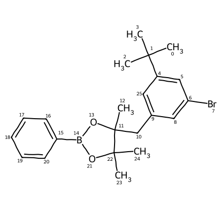 CC(C)(C)c1cc(Br)cc(CC2(C)OB(c3ccccc3)OC2(C)C)c1